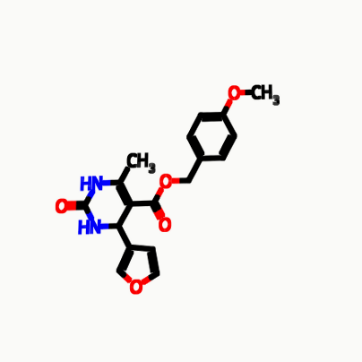 COc1ccc(COC(=O)C2=C(C)NC(=O)NC2c2ccoc2)cc1